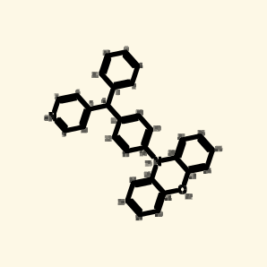 c1ccc(C(c2ccncc2)c2ccc(N3c4ccccc4Oc4ccccc43)cc2)cc1